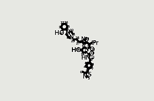 Cc1ncsc1-c1ccc([C@H](C)NC(=O)[C@@H]2C[C@@H](O)CN2C(=O)C(c2cc(CCCN3CCN(C4CCCCC4O)CC3)no2)C(C)C)cc1